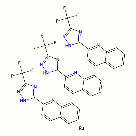 FC(F)(F)c1n[nH]c(-c2ccc3ccccc3n2)n1.FC(F)(F)c1n[nH]c(-c2ccc3ccccc3n2)n1.FC(F)(F)c1n[nH]c(-c2ccc3ccccc3n2)n1.[Ru]